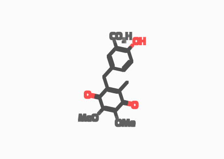 COC1=C(OC)C(=O)C(Cc2ccc(O)c(C(=O)O)c2)=C(C)C1=O